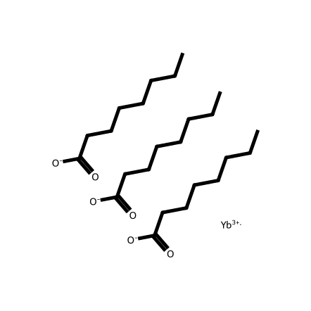 CCCCCCCC(=O)[O-].CCCCCCCC(=O)[O-].CCCCCCCC(=O)[O-].[Yb+3]